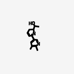 Cc1cc(C2=NC(C(C)O)CC=C2)cnc1C